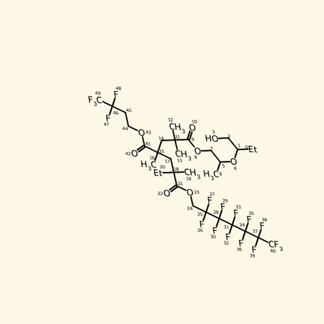 CCC(CO)OC(C)COC(=O)C(C)(C)CC(C)(CC(C)(CC)C(=O)OCC(F)(F)C(F)(F)C(F)(F)C(F)(F)C(F)(F)C(F)(F)F)C(=O)OCCC(F)(F)C(F)(F)F